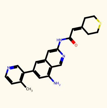 Cc1ccncc1-c1cc(N)c2cnc(NC(=O)C=C3CCSCC3)cc2c1